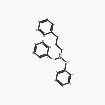 c1ccc(CCC[SiH](Oc2ccccc2)Oc2ccccc2)cc1